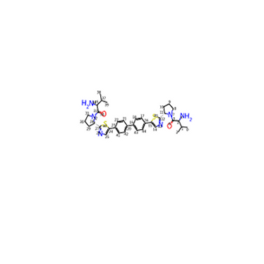 CC(C)[C@H](N)C(=O)N1CCC[C@H]1c1ncc(-c2ccc(-c3ccc(-c4cnc([C@@H]5CCCN5C(=O)[C@@H](N)C(C)C)s4)cc3)cc2)s1